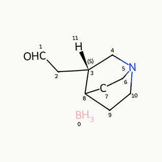 B.O=CC[C@@H]1CN2CCC1CC2